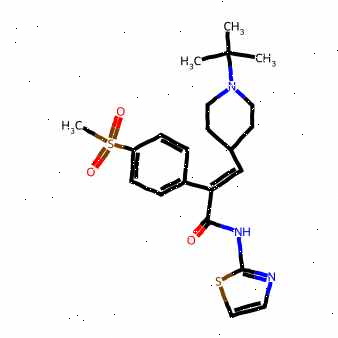 CC(C)(C)N1CCC(/C=C(/C(=O)Nc2nccs2)c2ccc(S(C)(=O)=O)cc2)CC1